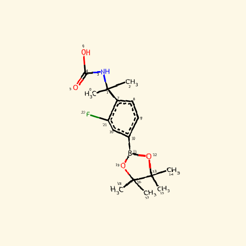 CC(C)(NC(=O)O)c1ccc(B2OC(C)(C)C(C)(C)O2)cc1F